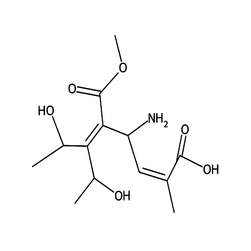 COC(=O)C(=C(C(C)O)C(C)O)C(N)C=C(C)C(=O)O